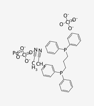 CC#N.CC#N.[O-][Cl+3]([O-])([O-])[O-].[O-][Cl+3]([O-])([O-])[O-].[Pd+2].c1ccc(P(CCCP(c2ccccc2)c2ccccc2)c2ccccc2)cc1